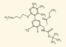 C=CCCCOc1cc(C)c(C)c(C)c1-c1cc(C2CC2)c(F)c([C@H](CC(=O)OCC)NC(=O)OC(C)(C)C)c1